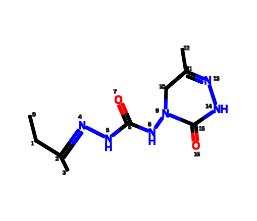 CC/C(C)=N/NC(=O)NN1CC(C)=NNC1=O